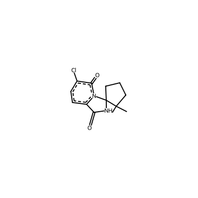 CC1(C)CCCC12NC(=O)c1ccc(Cl)c(=O)n12